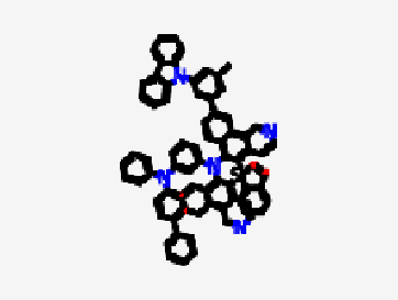 Cc1cc(-c2ccc3c4c(c5ccncc5c3c2)[Si]2(c3ccccc3-c3ccccc32)c2c(c3c(c5cnccc25)CCC=C3)N4c2cccc(N(c3ccccc3)c3ccc(-c4ccccc4)cc3)c2)cc(-n2c3ccccc3c3ccccc32)c1